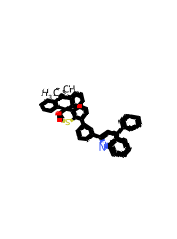 CC1(C)c2ccccc2C2(c3ccccc3Sc3c(-c4cccc(-c5cc(-c6ccccc6)c6ccccc6n5)c4)cccc32)c2ccccc21